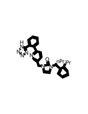 CCCC(c1ccccc1C(C)C)n1ccn(Cc2ccc(-c3ccccc3-c3nnn[nH]3)nc2)c1=O